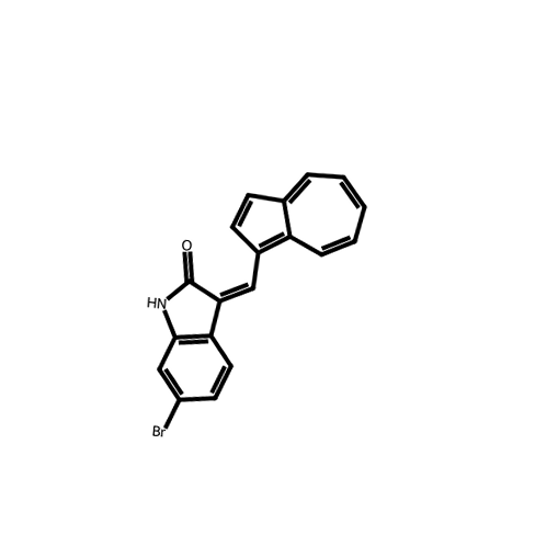 O=C1Nc2cc(Br)ccc2C1=Cc1ccc2cccccc1-2